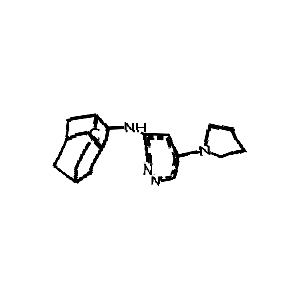 c1nnc(NC2C3CC4CC(C3)CC2C4)cc1N1CCCC1